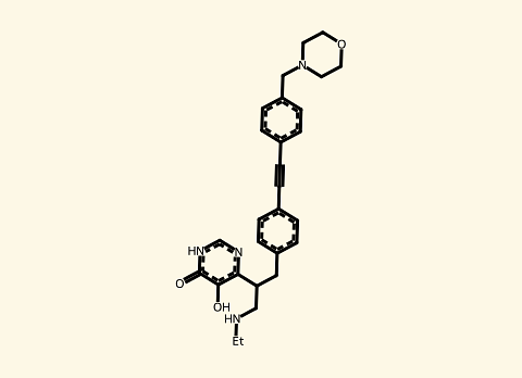 CCNCC(Cc1ccc(C#Cc2ccc(CN3CCOCC3)cc2)cc1)c1nc[nH]c(=O)c1O